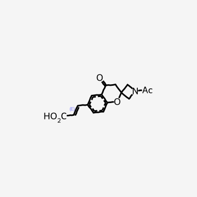 CC(=O)N1CC2(CC(=O)c3cc(/C=C/C(=O)O)ccc3O2)C1